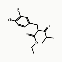 CCOC(=O)C(Cc1ccc(Cl)c(F)c1)C(=O)C(C)C